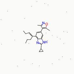 CC/C=C(\CCC)c1cc(-c2c(C)noc2C)cc2[nH]c(C3CC3)nc12